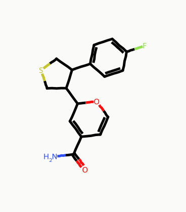 NC(=O)C1=CC(C2CSCC2c2ccc(F)cc2)OC=C1